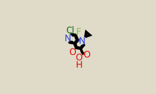 O=C(O)c1cn(C2CC2)c2c(F)c(Cl)ncc2c1=O